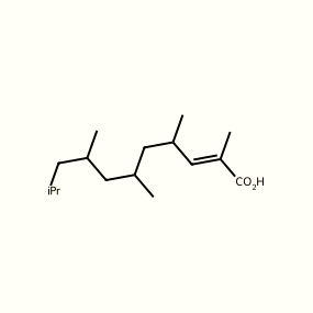 CC(=CC(C)CC(C)CC(C)CC(C)C)C(=O)O